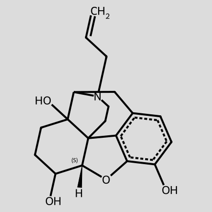 C=CCN1CCC23c4c5ccc(O)c4O[C@@H]2C(O)CCC3(O)C1C5